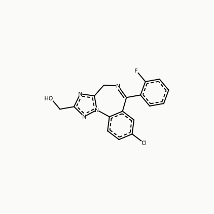 OCc1nc2n(n1)-c1ccc(Cl)cc1C(c1ccccc1F)=NC2